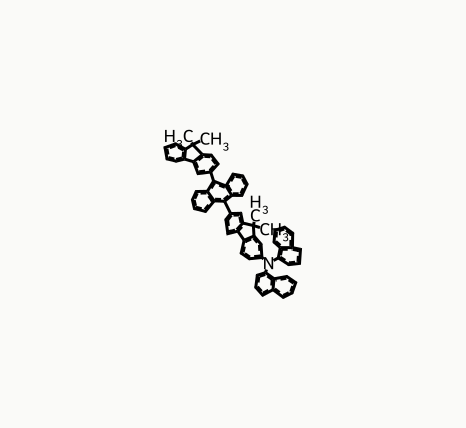 CC1(C)c2ccccc2-c2cc(-c3c4ccccc4c(-c4ccc5c(c4)C(C)(C)c4cc(N(c6cccc7ccccc67)c6cccc7ccccc67)ccc4-5)c4ccccc34)ccc21